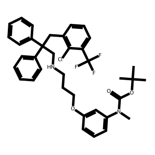 CN(C(=O)OC(C)(C)C)c1cccc(OCCCNCC(Cc2cccc(C(F)(F)F)c2Cl)(c2ccccc2)c2ccccc2)c1